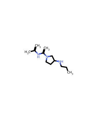 C=C(C)NC(=C)N1CCC(NCCC)C1